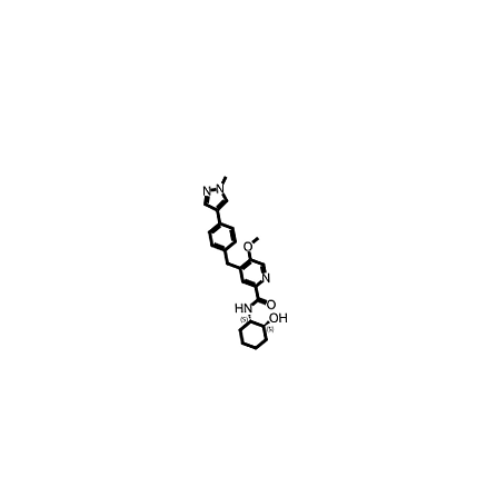 COc1cnc(C(=O)N[C@H]2CCCC[C@@H]2O)cc1Cc1ccc(-c2cnn(C)c2)cc1